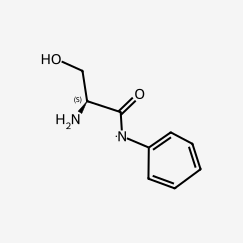 N[C@@H](CO)C(=O)[N]c1ccccc1